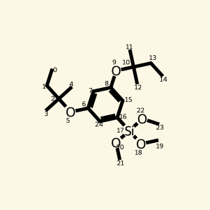 CCC(C)(C)Oc1cc(OC(C)(C)CC)cc([Si](OC)(OC)OC)c1